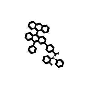 Cc1ccccc1N(c1ccccc1)C(F)c1ccc(-c2ccc3c(-c4c5ccccc5cc5ccccc45)c4ccccc4c(-c4ccccc4)c3c2)cc1